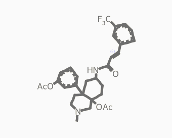 CC(=O)Oc1cccc(C23CCN(C)CC2(OC(C)=O)CCC(NC(=O)/C=C/c2cccc(C(F)(F)F)c2)C3)c1